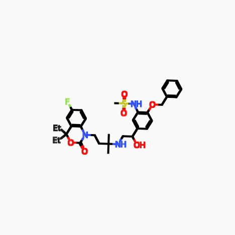 CCC1(CC)OC(=O)N(CCC(C)(C)NCC(O)c2ccc(OCc3ccccc3)c(NS(C)(=O)=O)c2)c2ccc(F)cc21